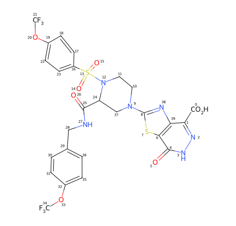 O=C(O)c1n[nH]c(=O)c2sc(N3CCN(S(=O)(=O)c4ccc(OC(F)(F)F)cc4)C(C(=O)NCc4ccc(OC(F)(F)F)cc4)C3)nc12